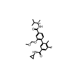 COCOc1cc(C(=O)N[C@H](C)C(C)C)ccc1-c1cc(C(=O)NC2CC2)cc(F)c1C